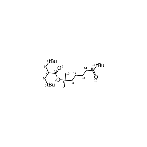 CC(C)(C)CC(CC(C)(C)C)C(=O)OC(C)(C)CCCCC(=O)C(C)(C)C